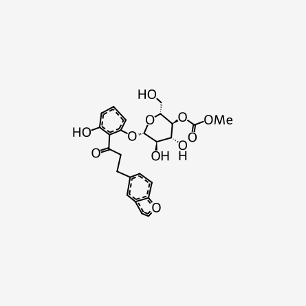 COC(=O)O[C@H]1[C@H](O)[C@@H](O)[C@H](Oc2cccc(O)c2C(=O)CCc2ccc3occc3c2)O[C@@H]1CO